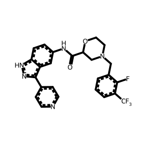 O=C(Nc1ccc2[nH]nc(-c3ccncc3)c2c1)C1CN(Cc2cccc(C(F)(F)F)c2F)CCO1